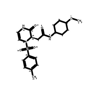 COC1CCC(NC(=O)C[C@@H]2C(=O)NC=CN2S(=O)(=O)c2ccc(C)cc2)CC1